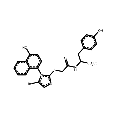 CCOC(=O)C(Cc1ccc(O)cc1)NC(=O)CSc1ncc(Br)n1-c1ccc(C#N)c2ccccc12